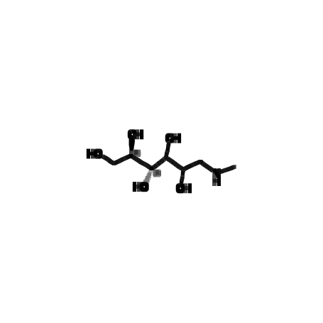 CNCC(O)C(O)[C@H](O)[C@H](O)CO